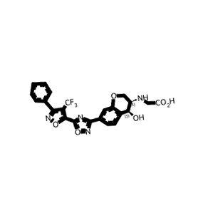 O=C(O)CN[C@H]1COc2cc(-c3noc(-c4onc(-c5ccccc5)c4C(F)(F)F)n3)ccc2[C@@H]1O